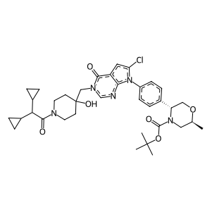 C[C@H]1CN(C(=O)OC(C)(C)C)[C@H](c2ccc(-n3c(Cl)cc4c(=O)n(CC5(O)CCN(C(=O)C(C6CC6)C6CC6)CC5)cnc43)cc2)CO1